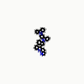 c1cnc2c(c1)ccc1c(-c3ccc(-n4c5ccccc5c5cc(-n6c7ccccc7c7ccccc76)ccc54)c4ccccc34)c3ccccc3nc12